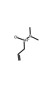 C=CC[NH+]([O-])N(C)C